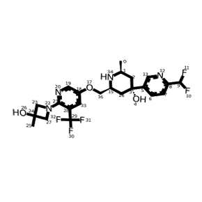 C[C@H]1C[C@@](O)(c2ccc(C(F)F)nc2)C[C@@H](COc2cnc(N3CC(C)(O)C3)c(C(F)(F)F)c2)N1